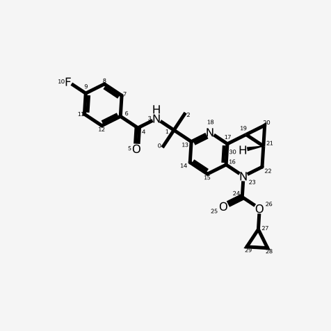 CC(C)(NC(=O)c1ccc(F)cc1)c1ccc2c(n1)C1C[C@@H]1CN2C(=O)OC1CC1